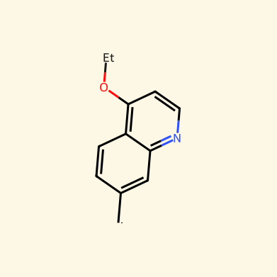 [CH2]c1ccc2c(OCC)ccnc2c1